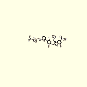 O=C(O)c1cc(F)c2nc(Cc3cc(F)c(-c4cccc(OCc5ncc(C(F)F)s5)n4)cc3F)n(CC3CCO3)c2c1